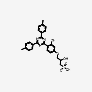 Cc1ccc(-c2nc(-c3ccc(C)cc3)nc(-c3ccc(OCC(O)CS(=O)(=O)O)cc3O)n2)cc1